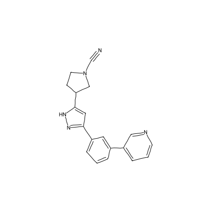 N#CN1CCC(c2cc(-c3cccc(-c4cccnc4)c3)n[nH]2)C1